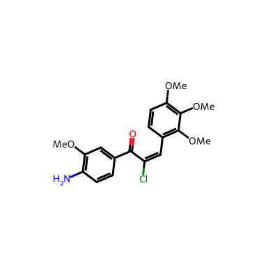 COc1cc(C(=O)/C(Cl)=C\c2ccc(OC)c(OC)c2OC)ccc1N